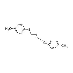 Cc1ccc(SCCCCSc2ccc(C)cc2)cc1